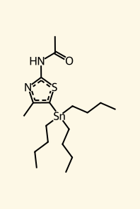 CCC[CH2][Sn]([CH2]CCC)([CH2]CCC)[c]1sc(NC(C)=O)nc1C